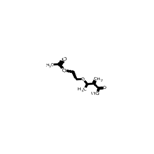 C=C(C(=O)O)C(C)OCCOC(C)=O